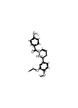 CCOc1cc(C2CC=CN(C(=O)c3ccc(N)cc3)N2)ccc1OC